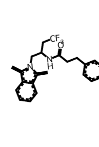 C=c1c2ccccc2c(=C)n1CC(CC(F)(F)F)NC(=O)CCc1ccccc1